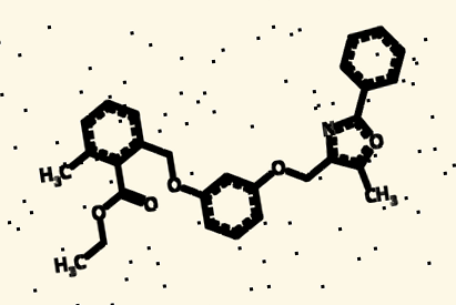 CCOC(=O)c1c(C)cccc1COc1cccc(OCc2nc(-c3ccccc3)oc2C)c1